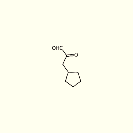 O=CC(=O)CC1CCCC1